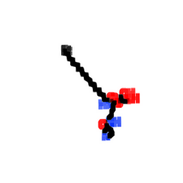 CCC=CCC=CCC=CCC=CCC=CCC=CCCC(=O)NC(CCCCNC(=O)c1cccnc1)C(=O)OC(CO)CO